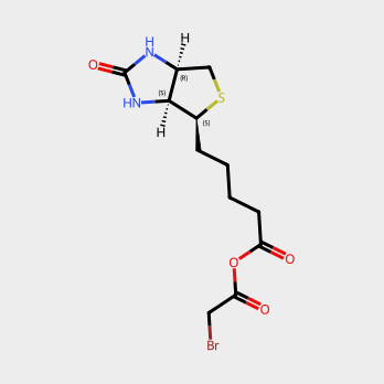 O=C1N[C@H]2[C@H](CS[C@H]2CCCCC(=O)OC(=O)CBr)N1